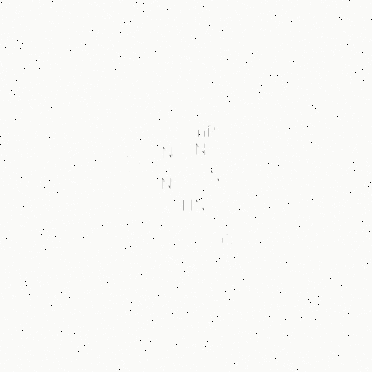 CCCn1cnc(NCCO)c2nc(C3CC3)nc1-2